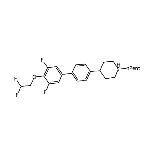 CCCCC[SiH]1CCC(c2ccc(-c3cc(F)c(OCC(F)F)c(F)c3)cc2)CC1